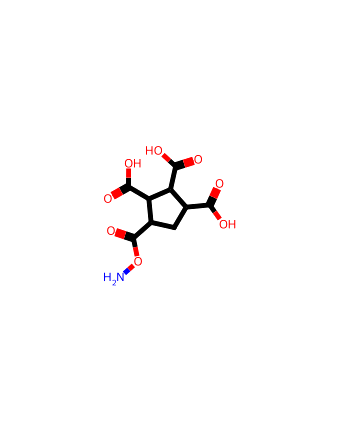 NOC(=O)C1CC(C(=O)O)C(C(=O)O)C1C(=O)O